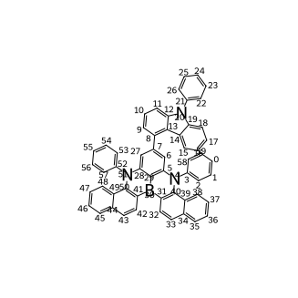 c1ccc(N2c3cc(-c4cccc5c4c4ccccc4n5-c4ccccc4)cc4c3B(c3ccc5ccccc5c32)c2ccc3ccccc3c2N4c2ccccc2)cc1